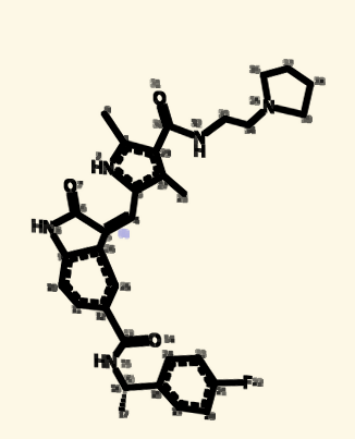 Cc1[nH]c(/C=C2\C(=O)Nc3ccc(C(=O)N[C@@H](C)c4ccc(F)cc4)cc32)c(C)c1C(=O)NCCN1CCCC1